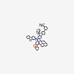 CC1(C)c2ccccc2-c2ccc(N(c3ccc4c(c3)oc3ccccc34)c3cc4c(cc3-c3ccc5ccc6cccc7ccc3c5c67)-c3ccc(-c5cccc(C#N)c5)cc3C43C4CC5CC(C4)CC3C5)cc21